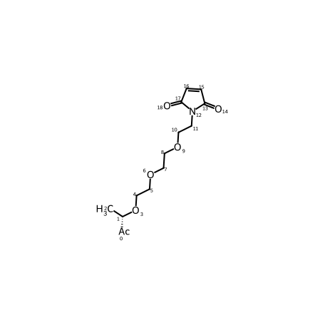 CC(=O)[C@H](C)OCCOCCOCCN1C(=O)C=CC1=O